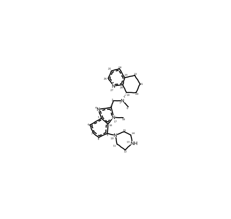 CN(Cc1nc2cccc(N3CCNCC3)c2n1C)[C@H]1CCCc2cccnc21